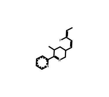 C/C=C(F)\C=C/C1CN=C(c2ccccn2)C(C)C1